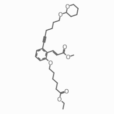 CCOC(=O)CCCCCOc1cccc(C#CCCCCOC2CCCCO2)c1/C=C/C(=O)OC